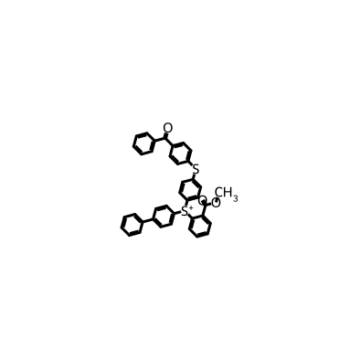 COC(=O)c1ccccc1[S+](c1ccc(Sc2ccc(C(=O)c3ccccc3)cc2)cc1)c1ccc(-c2ccccc2)cc1